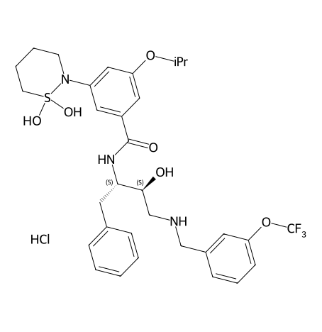 CC(C)Oc1cc(C(=O)N[C@@H](Cc2ccccc2)[C@@H](O)CNCc2cccc(OC(F)(F)F)c2)cc(N2CCCCS2(O)O)c1.Cl